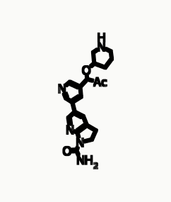 CC(=O)C(OC1CCCNC1)c1cncc(-c2cnc3c(c2)CCN3C(N)=O)c1